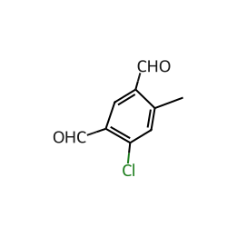 Cc1cc(Cl)c(C=O)cc1C=O